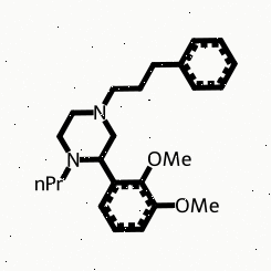 CCCN1CCN(CCCc2ccccc2)CC1c1cccc(OC)c1OC